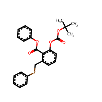 CC(C)(C)OC(=O)Oc1cccc(CSc2ccccc2)c1C(=O)Oc1ccccc1